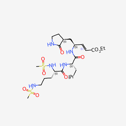 CCOC(=O)/C=C/[C@H](C[C@@H]1CCNC1=O)NC(=O)[C@H](CC(C)C)NC(=O)[C@H](CCCNS(C)(=O)=O)NS(C)(=O)=O